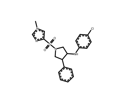 Cn1cnc(S(=O)(=O)N2CC(Nc3ccc(Cl)cc3)C(c3ccccc3)C2)c1